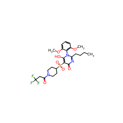 CCCCc1nc(=O)c(S(=O)(=O)C2CCN(C(=O)CC(F)(F)F)CC2)c(O)n1-c1c(OC)cccc1OC